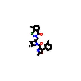 Cc1cccc(-c2sc(C)nc2C(=O)N2C[C@H]3CC3[C@H]2CNC(=O)c2cccc(C)c2Cl)c1